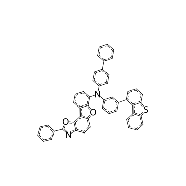 c1ccc(-c2ccc(N(c3cccc(-c4cccc5sc6ccccc6c45)c3)c3cccc4c3oc3ccc5nc(-c6ccccc6)oc5c34)cc2)cc1